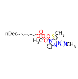 CCCCCCCCCCCCCCCCCCOC(=O)OC(C)OC(=O)N1c2ccccc2N=C(N2CCN(C)CC2)c2cc(C)sc21